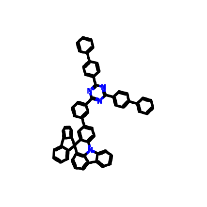 c1ccc(-c2ccc(-c3nc(-c4ccc(-c5ccccc5)cc4)nc(-c4cccc(-c5ccc6c(c5)C5(c7ccccc7-c7ccccc75)c5cccc7c8ccccc8n-6c57)c4)n3)cc2)cc1